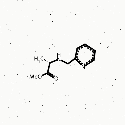 COC(=O)[C@H](C)NCc1ccccn1